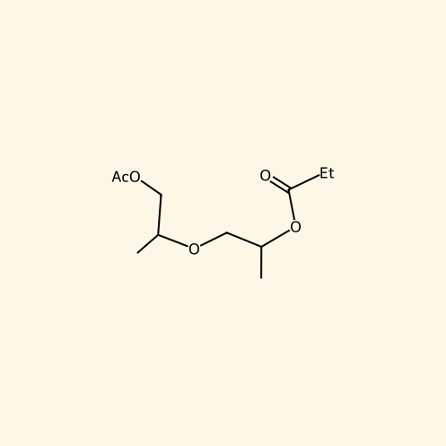 CCC(=O)OC(C)COC(C)COC(C)=O